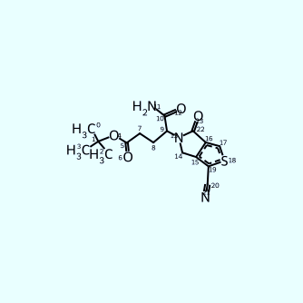 CC(C)(C)OC(=O)CCC(C(N)=O)N1Cc2c(csc2C#N)C1=O